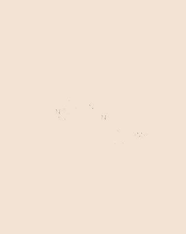 COc1cccc(CCN2CCN(Cc3ccc4c(c3)c(C)c(C)n4CCCCl)CC2)c1